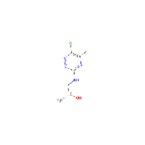 Cc1nc(NC[C@H](O)C(F)(F)F)nnc1Cl